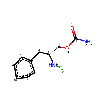 NC(=O)OC[C@@H](Cc1ccccc1)NCl